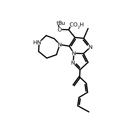 C=C(/C=C\C=C/C)c1cc2nc(C)c(C(OC(C)(C)C)C(=O)O)c(N3CCCNCC3)n2n1